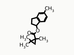 Cc1ccc2c(c1)CCC2OC(=O)C1(C)CC1(C)C